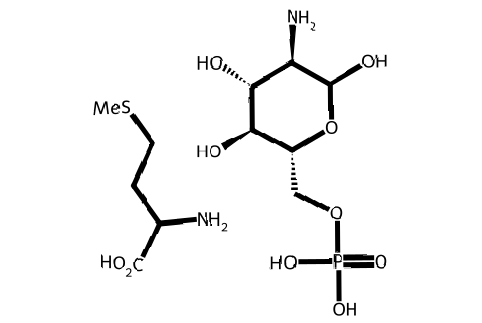 CSCCC(N)C(=O)O.N[C@H]1C(O)O[C@H](COP(=O)(O)O)[C@@H](O)[C@@H]1O